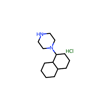 C1CCC2C(C1)CCCC2N1CCNCC1.Cl